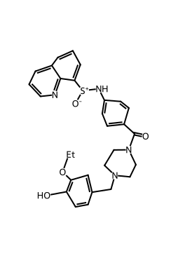 CCOc1cc(CN2CCN(C(=O)c3ccc(N[S+]([O-])c4cccc5cccnc45)cc3)CC2)ccc1O